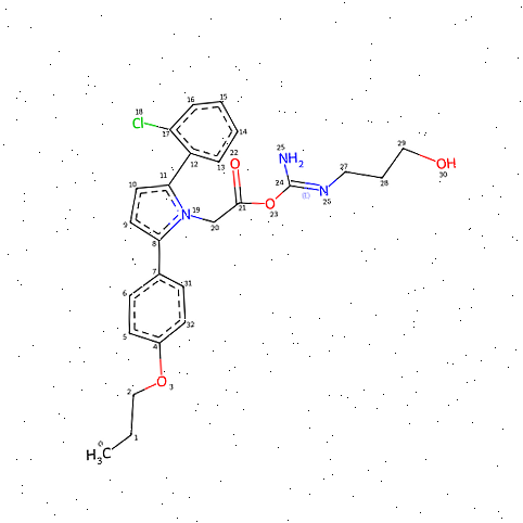 CCCOc1ccc(-c2ccc(-c3ccccc3Cl)n2CC(=O)O/C(N)=N/CCCO)cc1